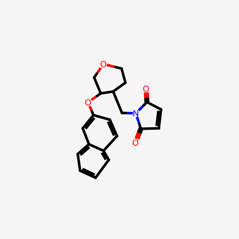 O=C1C=CC(=O)N1CC1CCOCC1Oc1ccc2ccccc2c1